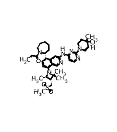 C=CC(=O)N1CCCCC[C@@H]1c1ccc(N2[C@H](C)[C@@H](CS(C)(=O)=O)C2(C)C)c2cnc(Nc3ccnc(N4CCC(C)(O)CC4)n3)cc12